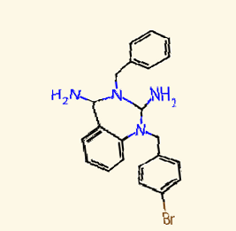 NC1c2ccccc2N(Cc2ccc(Br)cc2)C(N)N1Cc1ccccc1